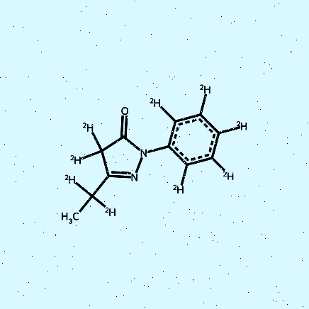 [2H]c1c([2H])c([2H])c(N2N=C(C([2H])([2H])C)C([2H])([2H])C2=O)c([2H])c1[2H]